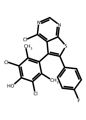 Cc1c(Cl)c(O)c(Cl)c(C)c1-c1c(-c2ccc(F)cc2)sc2ncnc(Cl)c12